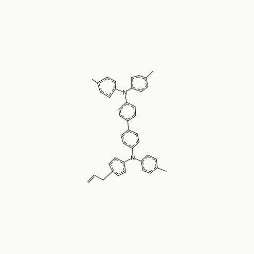 C=CCc1ccc(N(c2ccc(C)cc2)c2ccc(-c3ccc(N(c4ccc(C)cc4)c4ccc(C)cc4)cc3)cc2)cc1